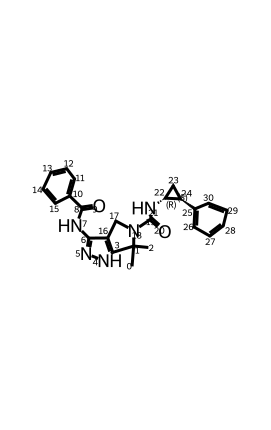 CC1(C)c2[nH]nc(NC(=O)c3ccccc3)c2CN1C(=O)N[C@@H]1C[C@H]1c1ccccc1